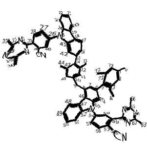 Cc1cc(C)c(-c2cc(Cc3cc(C)c(-c4ccc5c6ccccc6n(-c6ccc(-c7nc(C)nc(C)n7)c(C#N)c6)c5c4)c(C)c3)c3c4ccccc4n(-c4ccc(C#N)c(-c5nc(C)nc(C)n5)c4)c3c2)c(C)c1